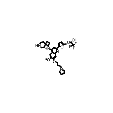 COc1cc2c(NC3CCC34CCNCC4)cc(-c3ccc(C)o3)nc2cc1OCCCN1CCCC1.O=C(O)C(F)(F)F